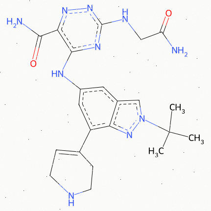 CC(C)(C)n1cc2cc(Nc3nc(NCC(N)=O)nnc3C(N)=O)cc(C3=CCNCC3)c2n1